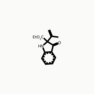 C=C(C)C1(C(=O)OCC)Nc2ccccc2C1=O